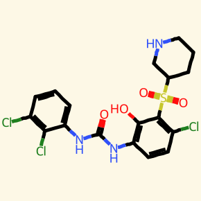 O=C(Nc1ccc(Cl)c(S(=O)(=O)C2CCCNC2)c1O)Nc1cccc(Cl)c1Cl